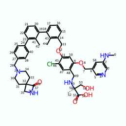 CNc1cncc(COc2cc(OCc3cccc(-c4cccc(-c5ccc(CN6CCC7(CC6)CNC7=O)cc5)c4C)c3C)c(Cl)cc2CN[C@@](C)(CO)C(=O)O)c1